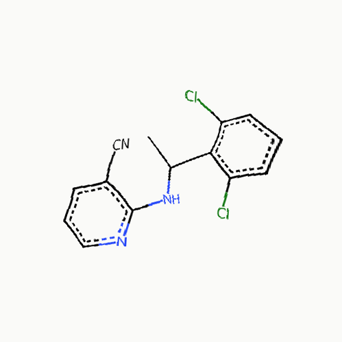 CC(Nc1ncccc1C#N)c1c(Cl)cccc1Cl